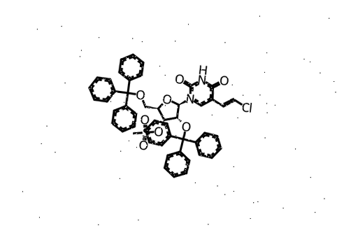 CS(=O)(=O)O[C@H]1[C@@H](OC(c2ccccc2)(c2ccccc2)c2ccccc2)[C@H](n2cc(C=CCl)c(=O)[nH]c2=O)O[C@@H]1COC(c1ccccc1)(c1ccccc1)c1ccccc1